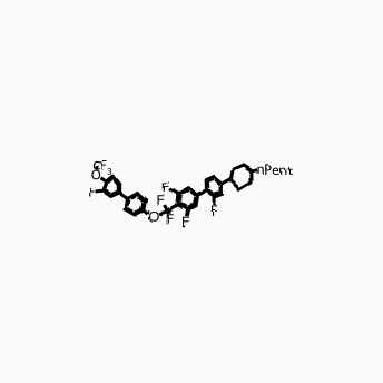 CCCCCC1CCC(c2ccc(-c3cc(F)c(C(F)(F)Oc4ccc(-c5ccc(OC(F)(F)F)c(F)c5)cc4)c(F)c3)c(F)c2)CC1